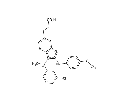 C[C@H](c1cccc(Cl)c1)n1c(Nc2ccc(OC(F)(F)F)cc2)nc2cc(CCC(=O)O)ccc21